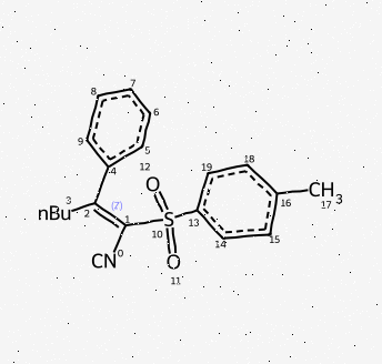 [C-]#[N+]/C(=C(\CCCC)c1ccccc1)S(=O)(=O)c1ccc(C)cc1